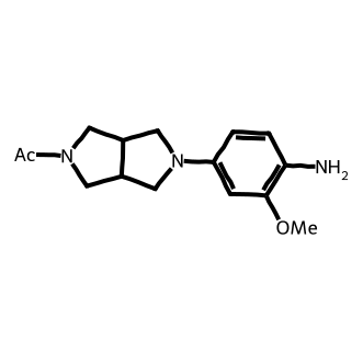 COc1cc(N2CC3CN(C(C)=O)CC3C2)ccc1N